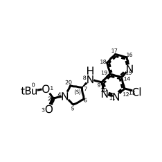 CC(C)(C)OC(=O)N1CC[C@H](Nc2nnc(Cl)c3ncccc23)C1